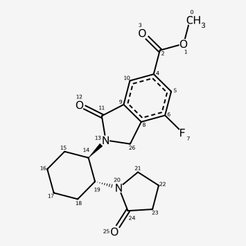 COC(=O)c1cc(F)c2c(c1)C(=O)N([C@@H]1CCCC[C@H]1N1CCCC1=O)C2